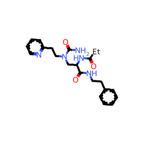 CCC(=O)NC(CN(CCc1ccccn1)C(N)=O)C(=O)NCCc1ccccc1